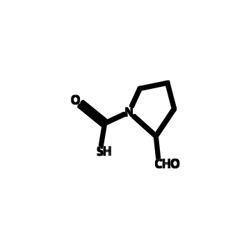 O=CC1CCCN1C(=O)S